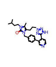 CCCc1c(C)n(CCC(C)C)c(=O)n1Cc1ccc(-c2cnccc2-c2nnn[nH]2)cc1